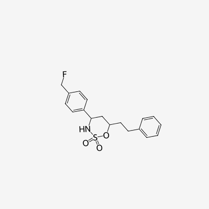 O=S1(=O)NC(c2ccc(CF)cc2)CC(CCc2ccccc2)O1